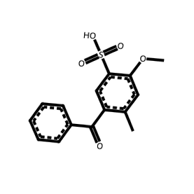 COc1cc(C)c(C(=O)c2ccccc2)cc1S(=O)(=O)O